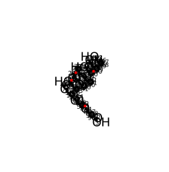 CC(=O)O.CC(=O)OCCc1ccccc1.CC(C)(O)CCc1ccccc1.CC(C)C(=O)OCCOc1ccccc1.COC(Cc1ccccc1)OC.O=C(Cc1ccccc1)OCCc1ccccc1.O=C(O)Cc1ccccc1.O=CCc1ccccc1.OCCCc1ccccc1.OCCc1ccccc1